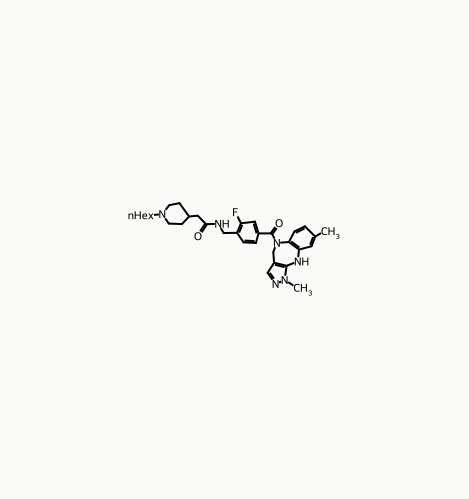 CCCCCCN1CCC(CC(=O)NCc2ccc(C(=O)N3Cc4cnn(C)c4Nc4cc(C)ccc43)cc2F)CC1